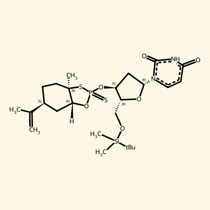 C=C(C)[C@H]1CC[C@@]2(C)SP(=S)(O[C@H]3C[C@H](n4ccc(=O)[nH]c4=O)O[C@@H]3CO[Si](C)(C)C(C)(C)C)O[C@@H]2C1